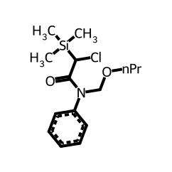 CCCOCN(C(=O)C(Cl)[Si](C)(C)C)c1ccccc1